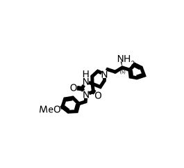 COc1ccc(CN2C(=O)NC3(CCN(CC[C@H](N)c4ccccc4)CC3)C2=O)cc1